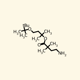 CC(C)(CCOC(C)(C)C(C)(C)C)OC(=O)C(C)(C)CCN